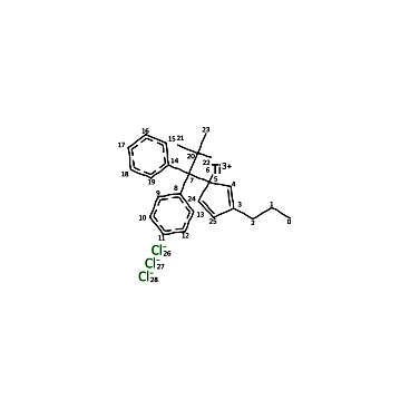 CCCC1=C[C]([Ti+3])(C(c2ccccc2)(c2ccccc2)C(C)(C)C)C=C1.[Cl-].[Cl-].[Cl-]